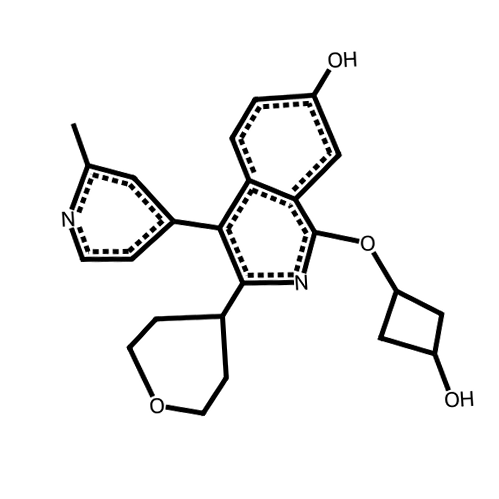 Cc1cc(-c2c(C3CCOCC3)nc(OC3CC(O)C3)c3cc(O)ccc23)ccn1